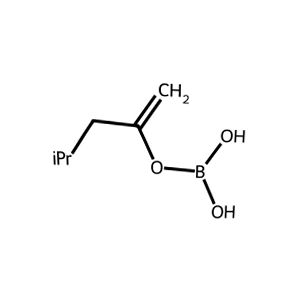 C=C(CC(C)C)OB(O)O